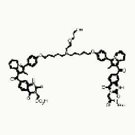 Cc1c(C(=O)c2ccc3c(=O)n(CC(=O)O)c(=O)[nH]c3c2)c2ccccn2c1-c1ccc(OCCCCCN(CCCCCOc2ccc(-c3c(C)c(C(=O)c4ccc5c(=O)n(CC(=O)OC(C)(C)C)c(=O)[nH]c5c4)c4ccccn34)cc2)CCOCCO)cc1